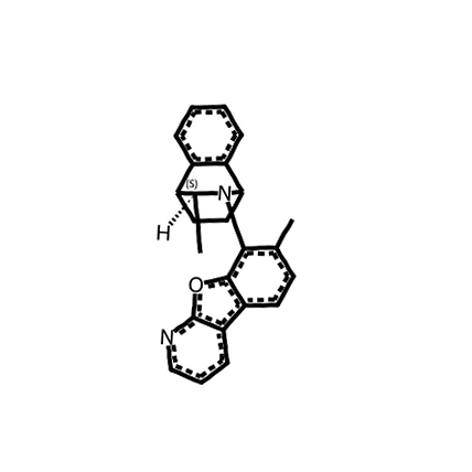 Cc1ccc2c(oc3ncccc32)c1N1C2CCC(c3ccccc32)[C@@H]1C